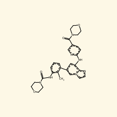 Cc1c(NC(=O)N2CCOCC2)cccc1-c1cc(Nc2ccc(C(=O)N3CCOCC3)cn2)c2nccn2c1